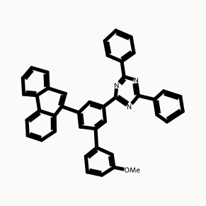 COc1cccc(-c2cc(-c3nc(-c4ccccc4)nc(-c4ccccc4)n3)cc(-c3cc4ccccc4c4ccccc34)c2)c1